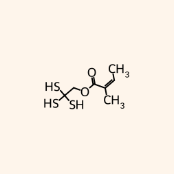 CC=C(C)C(=O)OCC(S)(S)S